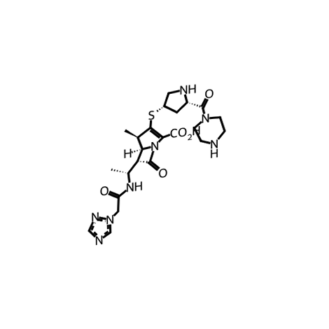 C[C@@H](NC(=O)Cn1cncn1)[C@H]1C(=O)N2C(C(=O)O)=C(S[C@@H]3CN[C@H](C(=O)N4CCNCC4)C3)[C@H](C)[C@H]12